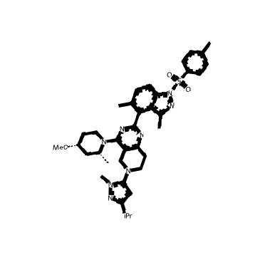 CO[C@@H]1CCN(c2nc(-c3c(C)ccc4c3c(C)nn4S(=O)(=O)c3ccc(C)cc3)nc3c2CN(c2cc(C(C)C)nn2C)CC3)[C@H](C)C1